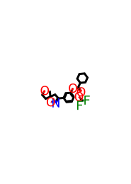 O=C(Oc1cc(C2=NOC3(CCOC3)C2)ccc1OC(F)F)C1CCCCC1